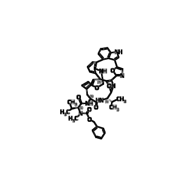 CC(C)[C@@H]1NC(=O)[C@@H](NC(=O)[C@H](C(C)C)N(C)C(=O)OCc2ccccc2)Cc2ccc3c(c2)[C@]24c5cccc(c5NC2O3)-c2cccc3[nH]cc(c23)-c2cnc(o2)-c2nc1oc24